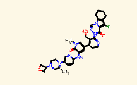 C[C@H]1CN(C2COC2)CCN1c1ccc(Nc2cc(-c3ccnc(-n4ncn5c6c(c(F)c5c4=O)CCCC6)c3CO)cn(C)c2=O)nc1